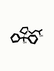 CC(O)CCN1CCC[C@H]1C(O)(c1ccccc1)c1ccccc1